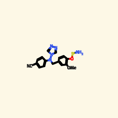 COc1cc(CN(c2ccc(C#N)cc2)n2cnnc2)ccc1OSN